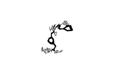 CC(=O)NC(Cc1cccc(CC(=O)N[C@@H](Cc2ccccc2)C(C)(C)C)c1)C(C)(C)C